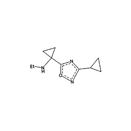 CCNC1(c2nc(C3CC3)no2)CC1